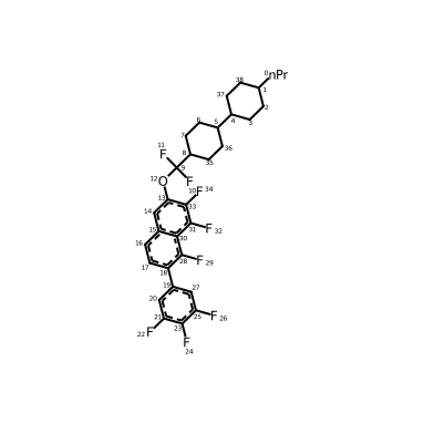 CCCC1CCC(C2CCC(C(F)(F)Oc3cc4ccc(-c5cc(F)c(F)c(F)c5)c(F)c4c(F)c3F)CC2)CC1